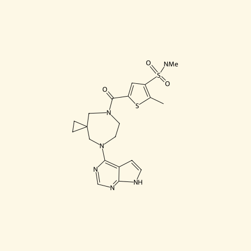 CNS(=O)(=O)c1cc(C(=O)N2CCN(c3ncnc4[nH]ccc34)CC3(CC3)C2)sc1C